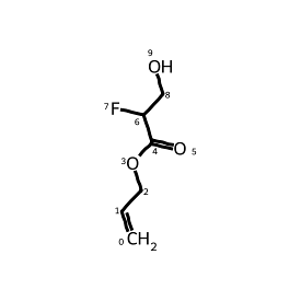 C=CCOC(=O)C(F)CO